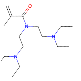 C=C(C)C(=O)N(CCN(CC)CC)CCN(CC)CC